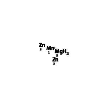 [MgH2].[Mn].[Zn].[Zn]